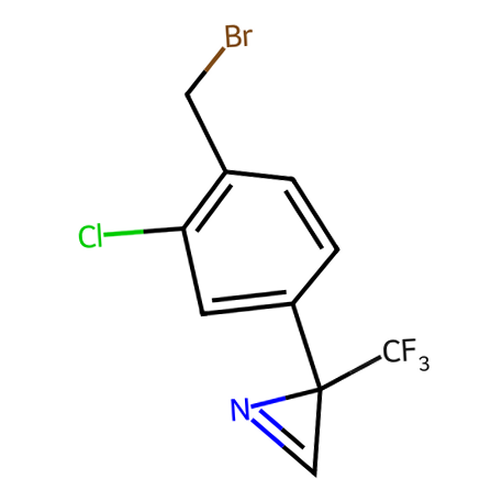 FC(F)(F)C1(c2ccc(CBr)c(Cl)c2)C=N1